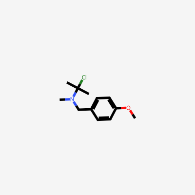 COc1ccc(CN(C)C(C)(C)Cl)cc1